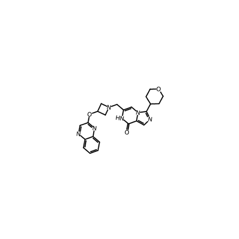 O=c1[nH]c(CN2CC(Oc3cnc4ccccc4n3)C2)cn2c(C3CCOCC3)ncc12